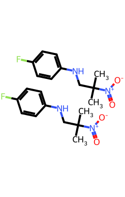 CC(C)(CNc1ccc(F)cc1)[N+](=O)[O-].CC(C)(CNc1ccc(F)cc1)[N+](=O)[O-]